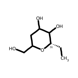 CC[C@@H]1OC(CO)CC(O)C1O